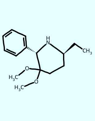 CC[C@H]1CCC(OC)(OC)[C@H](c2ccccc2)N1